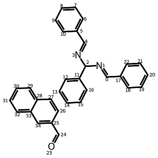 C(=NC(N=Cc1ccccc1)c1ccccc1)c1ccccc1.O=Cc1ccc2ccccc2c1